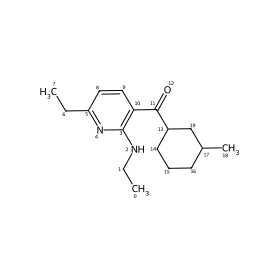 CCNc1nc(CC)ccc1C(=O)C1CCCC(C)C1